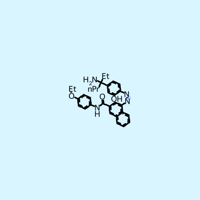 CCCC(N)(CC)c1ccc(/N=N\c2c(O)c(C(=O)Nc3ccc(OCC)cc3)cc3ccccc23)cc1